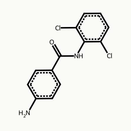 Nc1ccc(C(=O)Nc2c(Cl)cccc2Cl)cc1